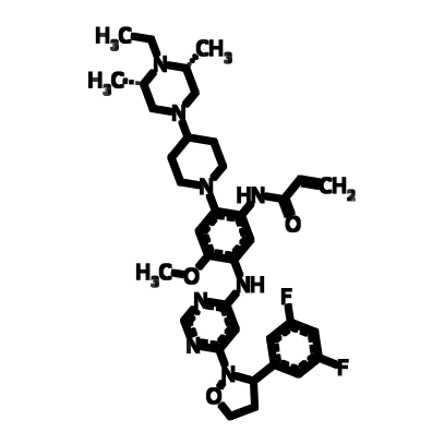 C=CC(=O)Nc1cc(Nc2cc(N3OCCC3c3cc(F)cc(F)c3)ncn2)c(OC)cc1N1CCC(N2C[C@@H](C)N(CC)[C@@H](C)C2)CC1